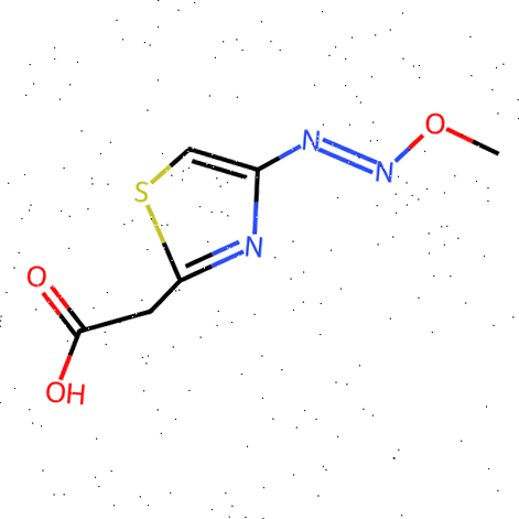 CON=Nc1csc(CC(=O)O)n1